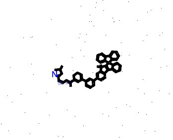 C/C(=C\C=C/C1=NCC(C)C1)C1=CC(c2cccc(-c3ccc4c(c3)C(C)(C)C3=C4c4ccccc4C34c3ccccc3-c3ccccc34)c2)=CCC1